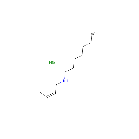 Br.CCCCCCCCCCCCCCNCC=C(C)C